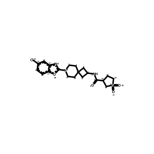 O=C(NC1CC2(CCN(c3nc4cc(Cl)ccc4o3)CC2)C1)C1CCS(=O)(=O)C1